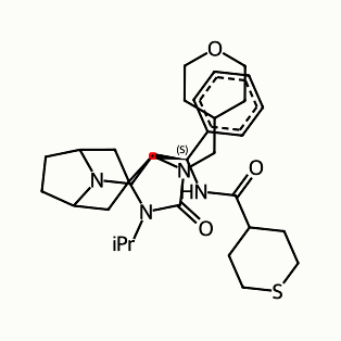 CC(C)N1C(=O)N(CC2CCOCC2)CC12CC1CCC(C2)N1CC[C@H](NC(=O)C1CCSCC1)c1ccccc1